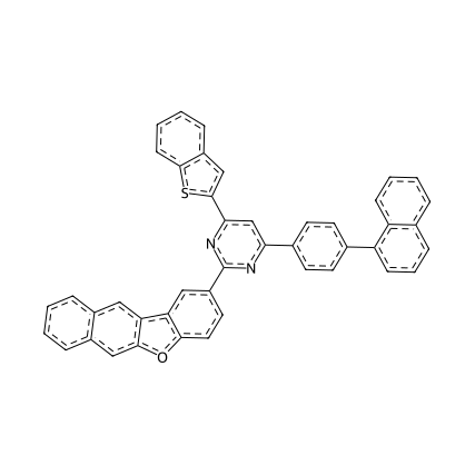 c1ccc2cc3c(cc2c1)oc1ccc(-c2nc(-c4ccc(-c5cccc6ccccc56)cc4)cc(-c4cc5ccccc5s4)n2)cc13